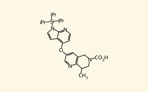 CC1CN(C(=O)O)Cc2cc(Oc3ccnc4c3ccn4[Si](C(C)C)(C(C)C)C(C)C)cnc21